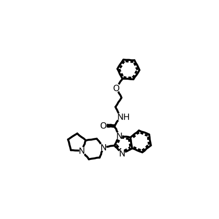 O=C(NCCOc1ccccc1)n1c(N2CCN3CCCC3C2)nc2ccccc21